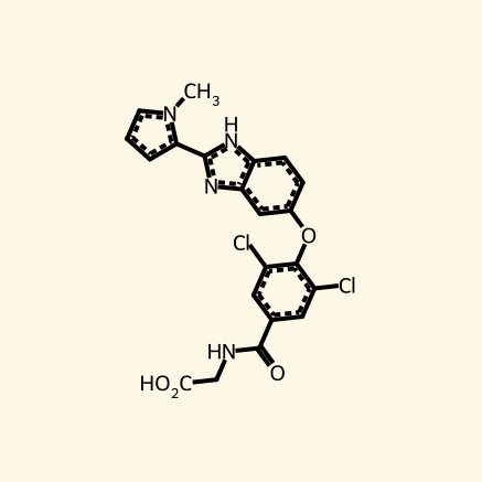 Cn1cccc1-c1nc2cc(Oc3c(Cl)cc(C(=O)NCC(=O)O)cc3Cl)ccc2[nH]1